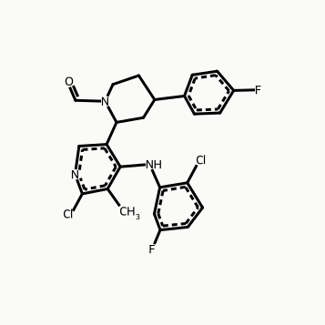 Cc1c(Cl)ncc(C2CC(c3ccc(F)cc3)CCN2C=O)c1Nc1cc(F)ccc1Cl